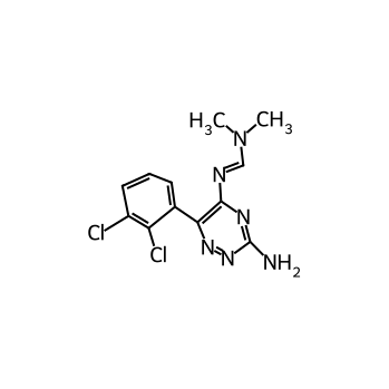 CN(C)C=Nc1nc(N)nnc1-c1cccc(Cl)c1Cl